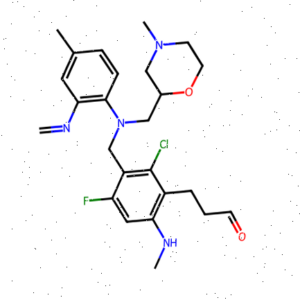 C=Nc1cc(C)ccc1N(Cc1c(F)cc(NC)c(CCC=O)c1Cl)CC1CN(C)CCO1